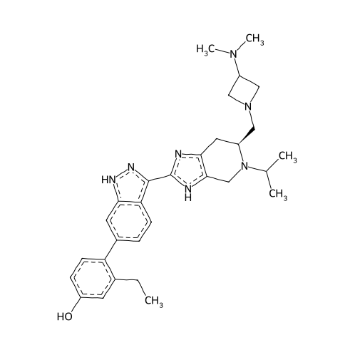 CCc1cc(O)ccc1-c1ccc2c(-c3nc4c([nH]3)CN(C(C)C)[C@H](CN3CC(N(C)C)C3)C4)n[nH]c2c1